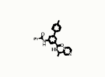 Cc1ccc(-c2cc(NC(=O)C(C)C)cc(C(=O)NC(C)c3cnccn3)c2)cc1